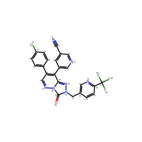 N#Cc1cncc(-c2c(-c3ccc(Cl)cc3)cnn3c(=O)n(Cc4ccc(C(F)(F)F)nc4)nc23)c1